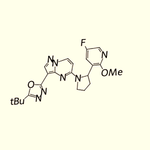 COc1ncc(F)cc1C1CCCN1c1ccn2ncc(-c3nnc(C(C)(C)C)o3)c2n1